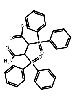 NC(=O)C(C(C(N)=O)P(=O)(c1ccccc1)c1ccccc1)P(=O)(c1ccccc1)c1ccccc1